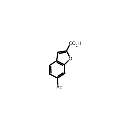 CC(=O)c1ccc2cc(C(=O)O)oc2c1